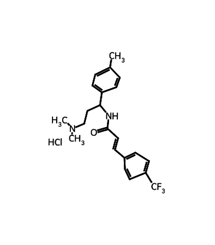 Cc1ccc(C(CCN(C)C)NC(=O)C=Cc2ccc(C(F)(F)F)cc2)cc1.Cl